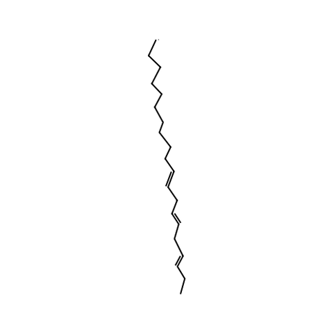 [CH2]CCCCCCCCC/C=C/C/C=C/C/C=C/CC